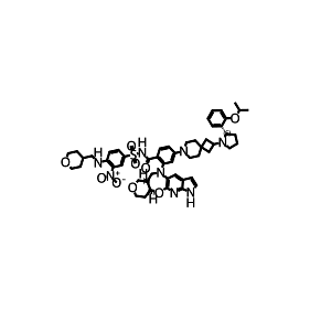 CC(C)Oc1ccccc1[C@@H]1CCCN1C1CC2(CCN(c3ccc(C(=O)NS(=O)(=O)c4ccc(NCC5CCOCC5)c([N+](=O)[O-])c4)c(N4C[C@H]5COCC[C@@H]5Oc5nc6[nH]ccc6cc54)c3)CC2)C1